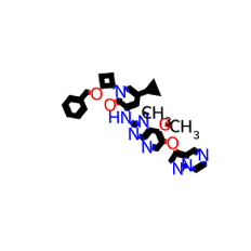 COc1c(Oc2cnn3ccncc23)cnc2nc(Nc3cc(C4CC4)cn(C4CC[C@@H]4OCc4ccccc4)c3=O)n(C)c12